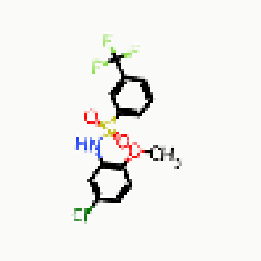 COc1ccc(Cl)cc1NS(=O)(=O)c1cccc(C(F)(F)F)c1